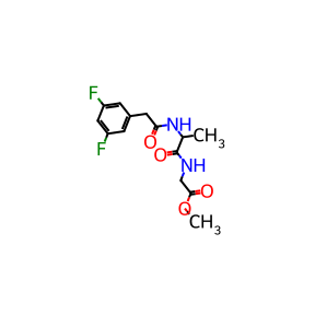 COC(=O)CNC(=O)C(C)NC(=O)Cc1cc(F)cc(F)c1